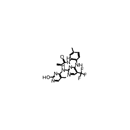 C=CC(=O)Nc1cc(C)ccc1Nc1nc(Nc2nc(O)ncc2C)ncc1C(F)(F)F